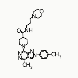 Cc1ccc(-n2cc3c(C)nnc(N4CCC(C(=O)NCCCN5CCOCC5)CC4)c3n2)cc1